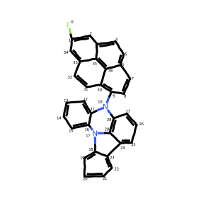 Fc1cc2ccc3ccc(N4c5ccccc5-n5c6ccccc6c6cccc4c65)c4ccc(c1)c2c34